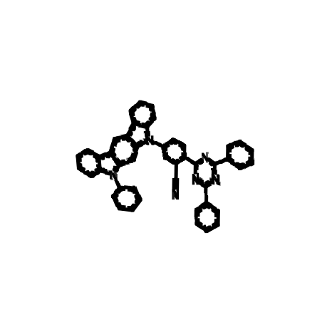 N#Cc1cc(-n2c3ccccc3c3cc4c5ccccc5n(-c5ccccc5)c4cc32)ccc1-c1nc(-c2ccccc2)nc(-c2ccccc2)n1